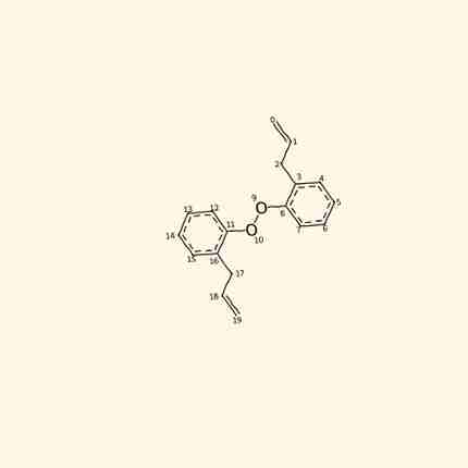 C=CCc1ccccc1OOc1ccccc1CC=C